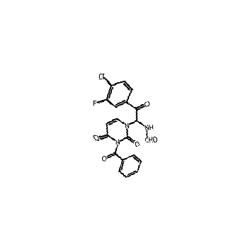 O=CNC(C(=O)c1ccc(Cl)c(F)c1)n1ccc(=O)n(C(=O)c2ccccc2)c1=O